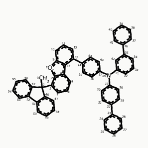 CC1(c2cccc3c2oc2cccc(-c4ccc(N(c5ccc(-c6ccccc6)cc5)c5cccc(-c6ccccc6)c5)cc4)c23)c2ccccc2-c2ccccc21